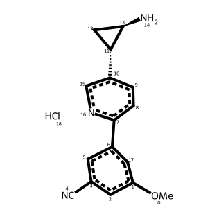 COc1cc(C#N)cc(-c2ccc([C@@H]3C[C@H]3N)cn2)c1.Cl